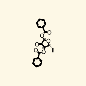 CC[C@H]1O[C@H](OC(=O)c2ccccc2)C(=O)[C@@H]1OC(=O)c1ccccc1